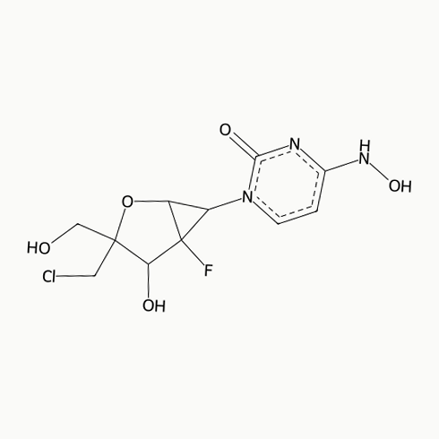 O=c1nc(NO)ccn1C1C2OC(CO)(CCl)C(O)C21F